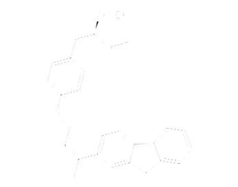 CCOC(=O)[C@H](Cc1ccc(OC/C=C(/C)c2ccc3c(c2)Cc2ccccc2-3)cc1)OCC